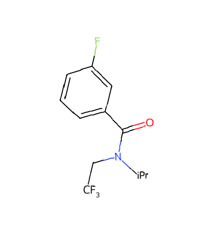 CC(C)N(CC(F)(F)F)C(=O)c1cccc(F)c1